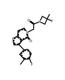 Cc1cc(-c2csc3ccn(CC(=O)N4CC(C)(F)C4)c(=O)c23)ccc1F